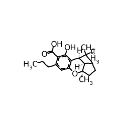 CCCc1cc2c(c(O)c1C(=O)O)[C@@H]1[C@H]3C(CC[C@@]3(C)O2)C1(C)C